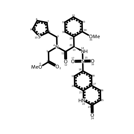 COC(=O)CN(Cc1cccs1)C(=O)[C@H](NS(=O)(=O)c1ccc2[nH]c(=O)ccc2c1)c1ccccc1OC